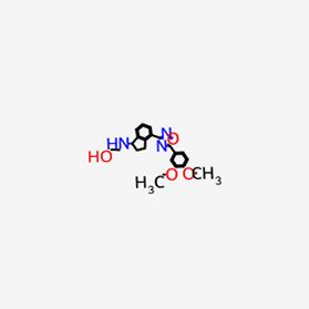 CCOc1cc(-c2nc(-c3cccc4c3CCC4NCCO)no2)ccc1OC